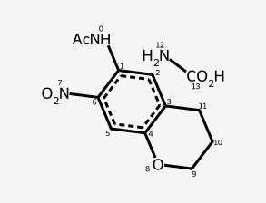 CC(=O)Nc1cc2c(cc1[N+](=O)[O-])OCCC2.NC(=O)O